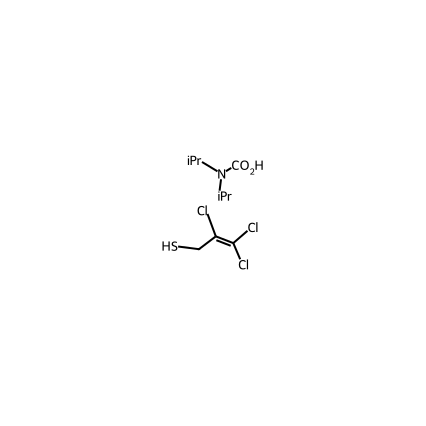 CC(C)N(C(=O)O)C(C)C.SCC(Cl)=C(Cl)Cl